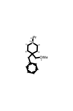 COCC1(Cc2ccccc2)CCN(C(C)C)CC1